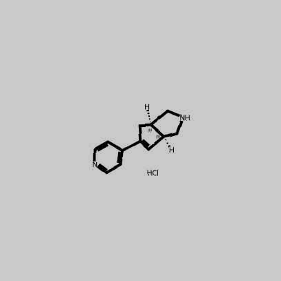 C1=C(c2ccncc2)C[C@H]2CNC[C@@H]12.Cl